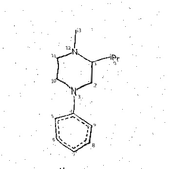 CC(C)C1CN(c2cc[c]cc2)CCN1C